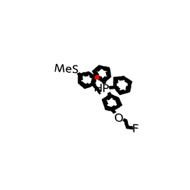 CSc1ccc(C[PH](c2ccccc2)(c2ccccc2)c2ccc(OCCF)cc2)cc1